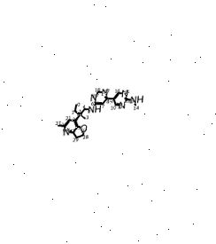 CC[C@](C)(CNc1cc(-c2cnc(NC)nc2)ncn1)c1cc(C)nc2c1OCC2